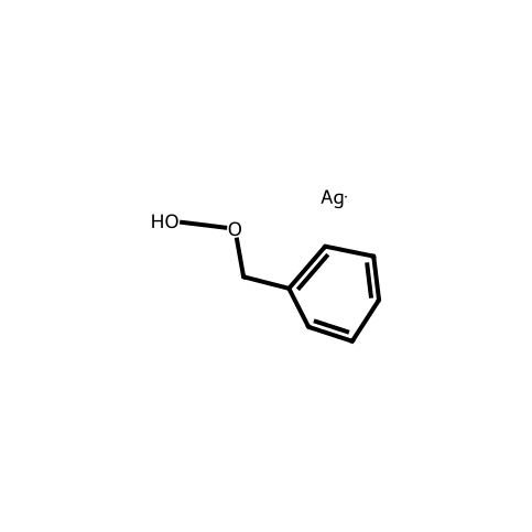 OOCc1ccccc1.[Ag]